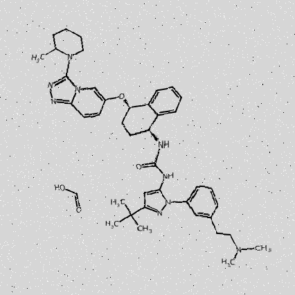 CC1CCCCN1c1nnc2ccc(O[C@@H]3CC[C@H](NC(=O)Nc4cc(C(C)(C)C)nn4-c4cccc(CCN(C)C)c4)c4ccccc43)cn12.O=CO